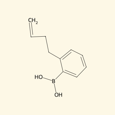 C=CCCc1ccccc1B(O)O